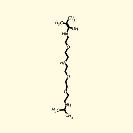 CC(C)=C(O)NCCOCCNCCOCCOCCNC(C)C